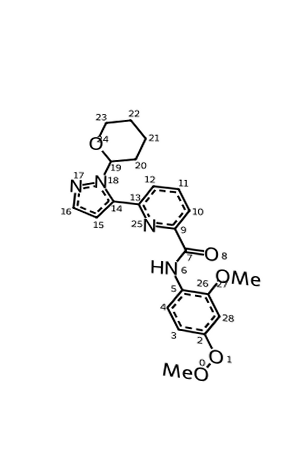 COOc1ccc(NC(=O)c2cccc(-c3ccnn3C3CCCCO3)n2)c(OC)c1